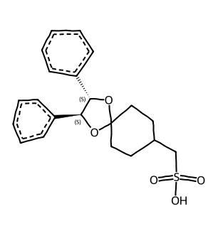 O=S(=O)(O)CC1CCC2(CC1)O[C@@H](c1ccccc1)[C@H](c1ccccc1)O2